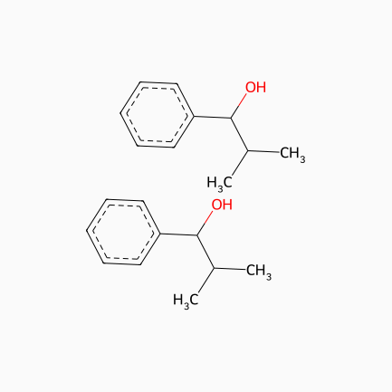 CC(C)C(O)c1ccccc1.CC(C)C(O)c1ccccc1